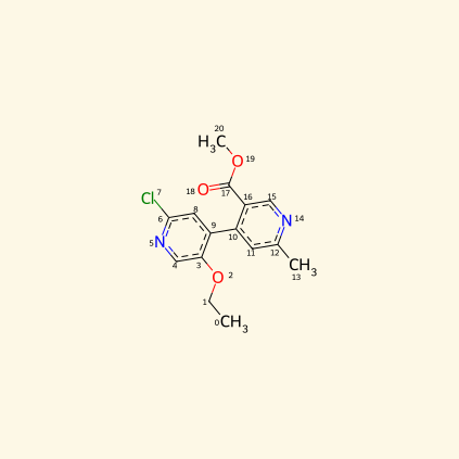 CCOc1cnc(Cl)cc1-c1cc(C)ncc1C(=O)OC